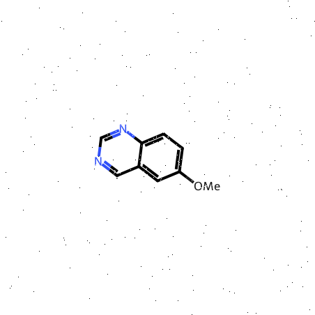 COc1ccc2ncn[c]c2c1